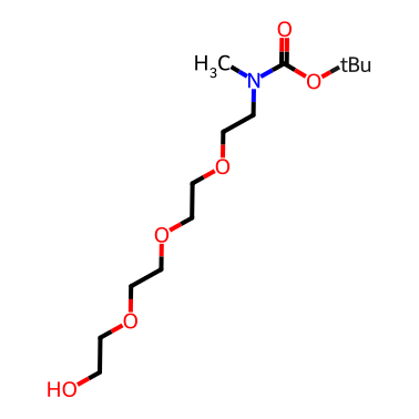 CN(CCOCCOCCOCCO)C(=O)OC(C)(C)C